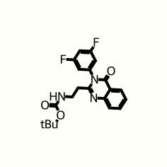 CC(C)(C)OC(=O)NCCc1nc2ccccc2c(=O)n1-c1cc(F)cc(F)c1